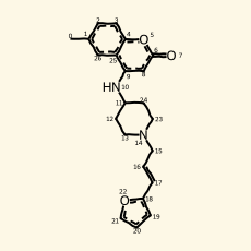 Cc1ccc2oc(=O)cc(NC3CCN(CC=Cc4ccco4)CC3)c2c1